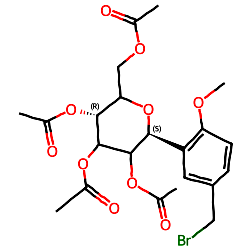 COc1ccc(CBr)cc1[C@@H]1OC(COC(C)=O)[C@@H](OC(C)=O)C(OC(C)=O)C1OC(C)=O